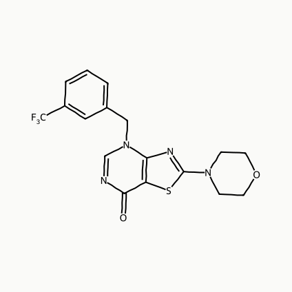 O=c1ncn(Cc2cccc(C(F)(F)F)c2)c2nc(N3CCOCC3)sc12